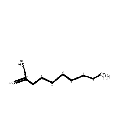 O=C(O)CCCCCCCC(=O)S